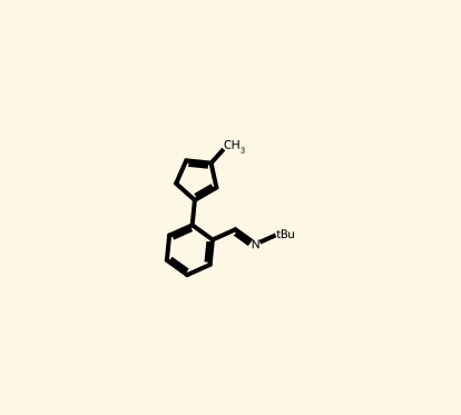 CC1=CCC(c2ccccc2/C=N/C(C)(C)C)=C1